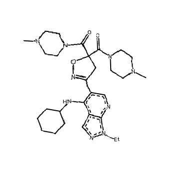 CCn1ncc2c(NC3CCCCC3)c(C3=NOC(C(=O)N4CCN(C)CC4)(C(=O)N4CCN(C)CC4)C3)cnc21